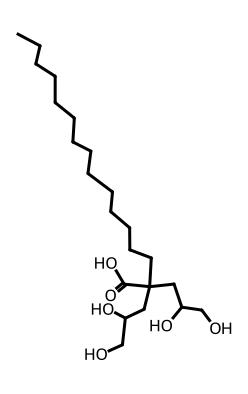 CCCCCCCCCCCCCCC(CC(O)CO)(CC(O)CO)C(=O)O